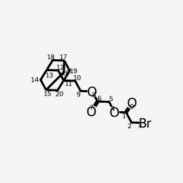 O=C(CBr)OCC(=O)OCCC12CC3CC(CC(C3)C1)C2